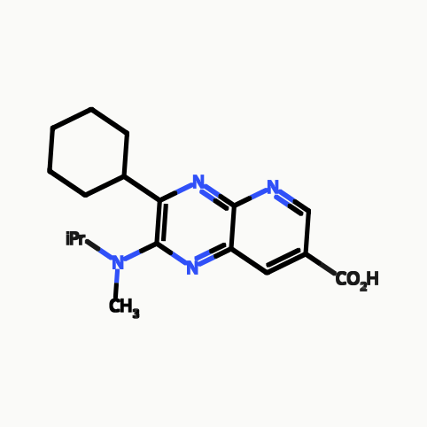 CC(C)N(C)c1nc2cc(C(=O)O)cnc2nc1C1CCCCC1